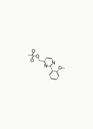 COc1ccccc1-c1nccc(COS(C)(=O)=O)n1